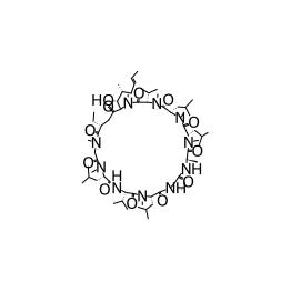 C/C=C/C[C@@H](C)[C@@H](O)C1C(=O)C[C@@H](CC)C(=O)N(C)CC(=O)N(C)[C@@H](CC(C)C)C(=O)N[C@@H](C(C)C)C(=O)N(C)[C@@H](CC(C)C)C(=O)N[C@@H](C)C(=O)N[C@H](C)C(=O)N(C)[C@@H](CC(C)C)C(=O)N(C)[C@@H](CC(C)C)C(=O)N(C)[C@@H](C(C)C)C(=O)N1C